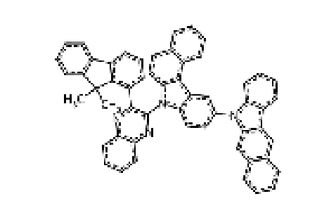 CC1(C)c2ccccc2-c2cccc(-c3nc4ccccc4nc3-n3c4ccc(-n5c6ccccc6c6cc7ccccc7cc65)cc4c4c5ccccc5ccc43)c21